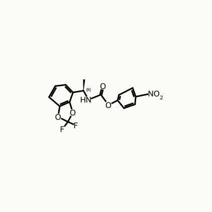 C[C@@H](NC(=O)Oc1ccc([N+](=O)[O-])cc1)c1cccc2c1OC(F)(F)O2